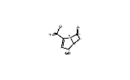 O=C(O)C1=CCC2CC(=O)N12.[NaH]